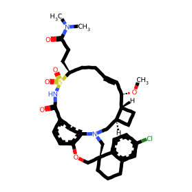 CO[C@H]1/C=C/CC[C@H](CCC(=O)N(C)C)S(=O)(=O)NC(=O)c2ccc3c(c2)N(C[C@@H]2CC[C@H]21)C[C@@]1(CCCc2cc(Cl)ccc21)CO3